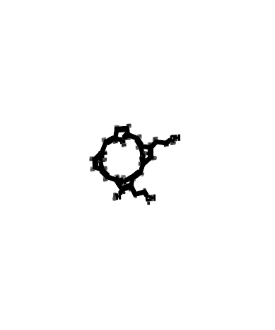 [2H]C1=C(CCO)C2=CC3=NC(=CC4=NC(=CC5=NC(=CC1=N2)C=C5)C=C4)C(CCO)=C3